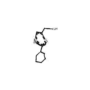 OCc1cnc(C2CCCCC2)s1